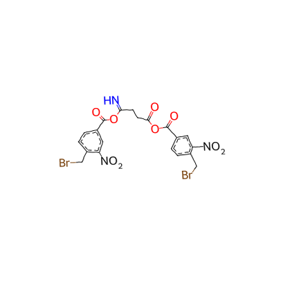 N=C(CCC(=O)OC(=O)c1ccc(CBr)c([N+](=O)[O-])c1)OC(=O)c1ccc(CBr)c([N+](=O)[O-])c1